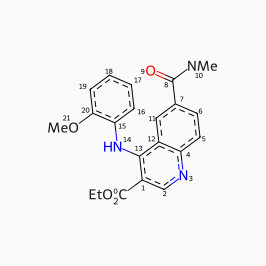 CCOC(=O)c1cnc2ccc(C(=O)NC)cc2c1Nc1ccccc1OC